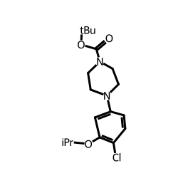 CC(C)Oc1cc(N2CCN(C(=O)OC(C)(C)C)CC2)ccc1Cl